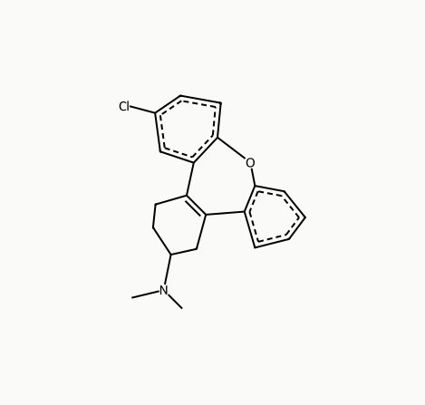 CN(C)C1CCC2=C(C1)c1ccccc1Oc1ccc(Cl)cc12